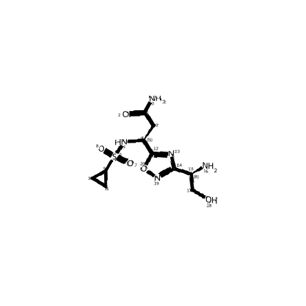 NC(=O)C[C@H](NS(=O)(=O)C1CC1)c1nc([C@@H](N)CO)no1